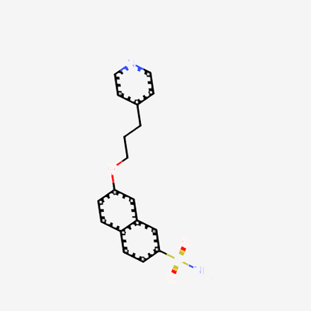 NS(=O)(=O)c1ccc2ccc(OCCCc3ccncc3)cc2c1